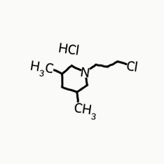 CC1CC(C)CN(CCCCl)C1.Cl